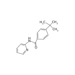 CC(C)(C)c1ccc(C(=O)Nc2ccccn2)cc1